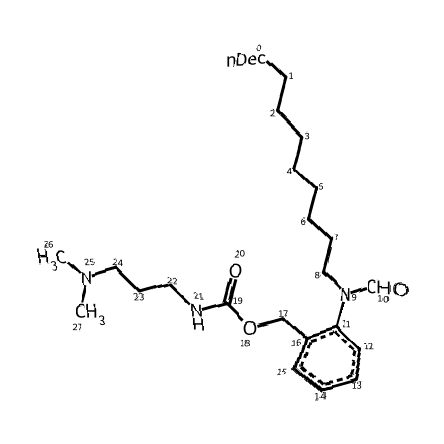 CCCCCCCCCCCCCCCCCCN(C=O)c1ccccc1COC(=O)NCCCN(C)C